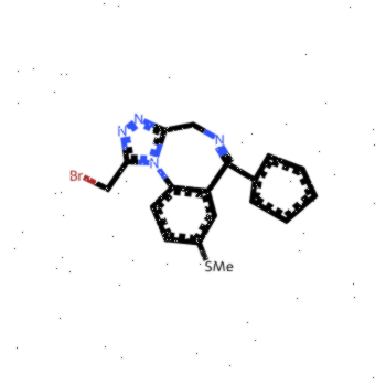 CSc1ccc2c(c1)C(c1ccccc1)=NCc1nnc(CBr)n1-2